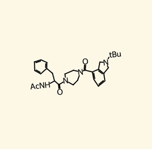 CC(=O)NC(Cc1ccccc1)C(=O)N1CCN(C(=O)c2cccc3c2CN(C(C)(C)C)C3)CC1